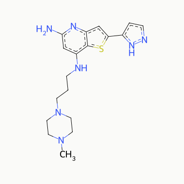 CN1CCN(CCCNc2cc(N)nc3cc(-c4ccn[nH]4)sc23)CC1